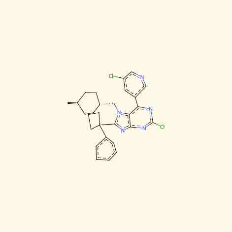 C[C@H]1CC[C@H](Cn2c(C3(c4ccccc4)CCC3)nc3nc(Cl)nc(-c4cncc(Cl)c4)c32)CC1